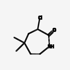 CC1(C)CCNC(=O)C(Cl)C1